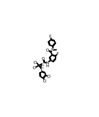 CN(C(=O)c1cc(NC(=O)[C@@H]2[C@@H](c3ccc(Cl)c(Cl)c3)C2(Cl)Cl)ccc1F)c1ccc(F)cc1